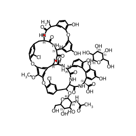 COc1c2cc3cc1Oc1ccc(cc1Cl)C(O[C@@H]1OC(CO)[C@@H](O)C(O)[C@@H]1NC(C)=O)C1NC(=O)[C@H](NC(=O)[C@@H]3NC(=O)[C@H]3NC(=O)[C@@H](Cc4ccc(c(Cl)c4)O2)NC(=O)C(N)c2ccc(O)c(c2)Oc2cc(O)cc3c2)c2ccc(O)c(c2)-c2c(O[C@H]3OC(CO)[C@@H](O)[C@@H](O)C3O)cc(O)cc2[C@@H](C(=O)O)NC1=O